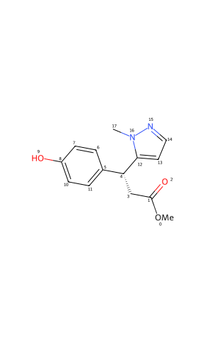 COC(=O)C[C@H](c1ccc(O)cc1)c1ccnn1C